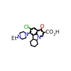 CCN1CCN(c2c(Cl)cc3c(=O)c(C(=O)O)cn4c3c2C2CCCCC24)CC1